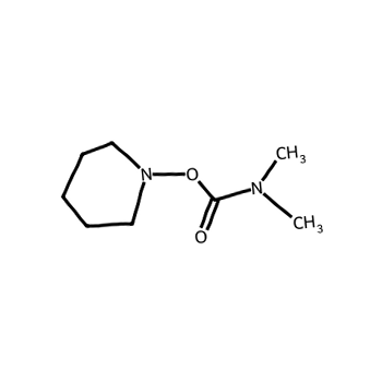 CN(C)C(=O)ON1CCCCC1